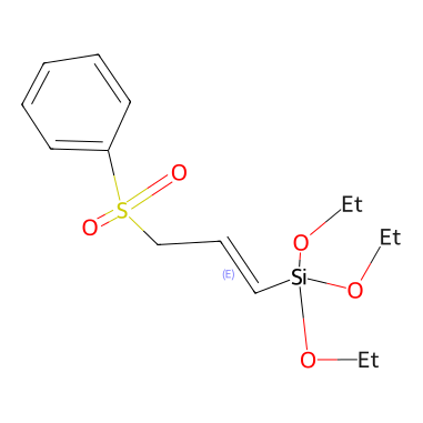 CCO[Si](/C=C/CS(=O)(=O)c1ccccc1)(OCC)OCC